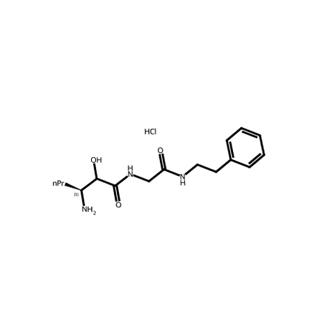 CCC[C@H](N)C(O)C(=O)NCC(=O)NCCc1ccccc1.Cl